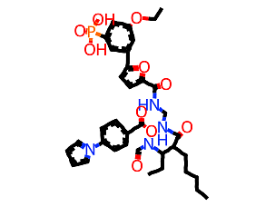 CCCCCC(C(=O)NCNC(=O)c1ccc(-c2cc(OCC)cc(P(=O)(O)O)c2)o1)C(CC)N(C=O)OC(=O)c1ccc(-n2cccc2)cc1